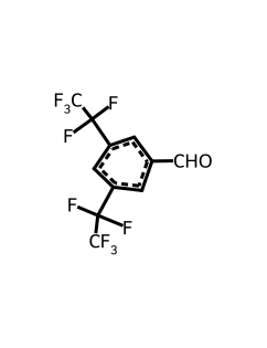 O=Cc1cc(C(F)(F)C(F)(F)F)cc(C(F)(F)C(F)(F)F)c1